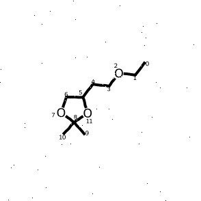 CCOCCC1COC(C)(C)O1